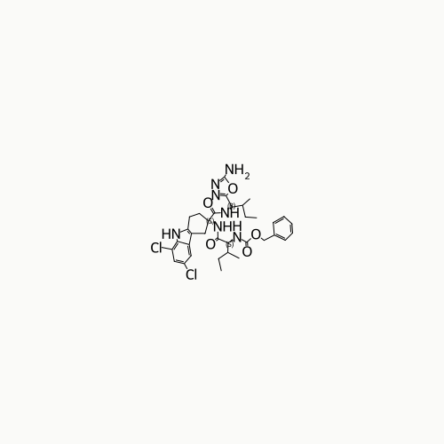 CCC(C)[C@H](NC(=O)OCc1ccccc1)C(=O)N[C@@]1(C(=O)N[C@@H](c2nnc(N)o2)C(C)CC)CCc2[nH]c3c(Cl)cc(Cl)cc3c2C1